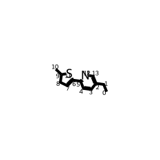 CCc1ccc(C2=CCC(C)S2)nc1